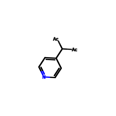 CC(=O)C(C(C)=O)c1ccncc1